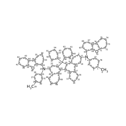 Cc1ccc(N(c2ccc3c4c(c5ccccc5c3c2)-c2c(cc(N(c3ccc(C)cc3)c3cccc5c3oc3ccccc35)c3ccccc23)C4(c2ccccc2)c2ccccc2)c2cccc3c2oc2ccccc23)cc1